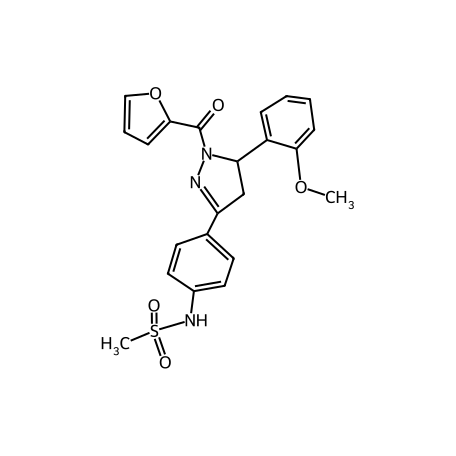 COc1ccccc1C1CC(c2ccc(NS(C)(=O)=O)cc2)=NN1C(=O)c1ccco1